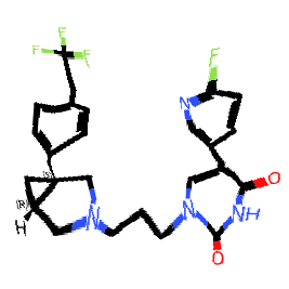 O=c1[nH]c(=O)n(CCCN2C[C@@H]3C[C@]3(c3ccc(C(F)(F)F)cc3)C2)cc1-c1ccc(F)nc1